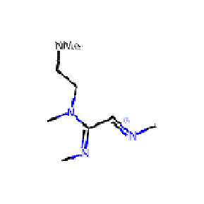 C[N]CCN(C)C(/[C]=N/C)=NC